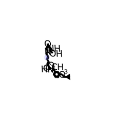 C[C@@H](NS(=O)(=O)CC/C=C/CN1CC(=O)NC1O)c1cccc(OCC2CC2)c1